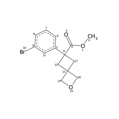 COC(=O)C1(c2cccc(Br)c2)CC2(COC2)C1